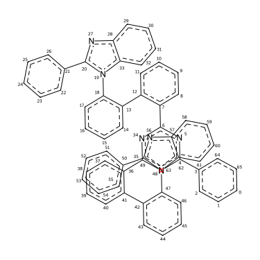 c1ccc(-c2nc(-c3ccccc3-c3ccccc3-n3c(-c4ccccc4)nc4ccccc43)nc(-c3ccccc3-c3ccccc3-n3c(-c4ccccc4)nc4ccccc43)n2)cc1